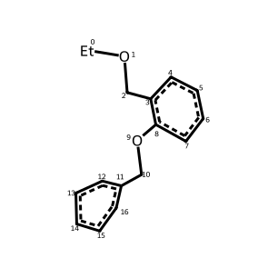 [CH2]COCc1ccccc1OCc1ccccc1